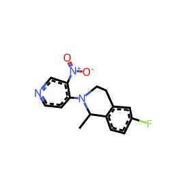 CC1c2ccc(F)cc2CCN1c1ccncc1[N+](=O)[O-]